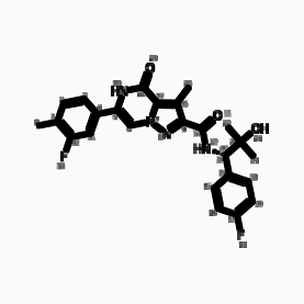 Cc1ccc(-c2cn3nc(C(=O)N[C@@H](c4ccc(F)cc4)C(C)(C)O)c(C)c3c(=O)[nH]2)cc1F